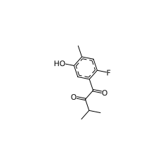 Cc1cc(F)c(C(=O)C(=O)C(C)C)cc1O